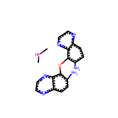 CPC.Nc1ccc2nccnc2c1Oc1c(N)ccc2nccnc12